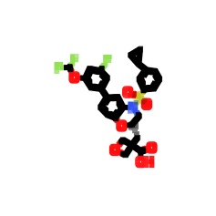 O=C(O)C1(C[C@H]2CN(S(=O)(=O)c3cccc(C4CC4)c3)c3cc(-c4cc(F)cc(OC(F)F)c4)ccc3O2)COC1